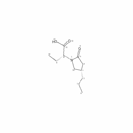 CCC[C@H]1CC(=O)N([C@H](CC)C(=O)O)C1